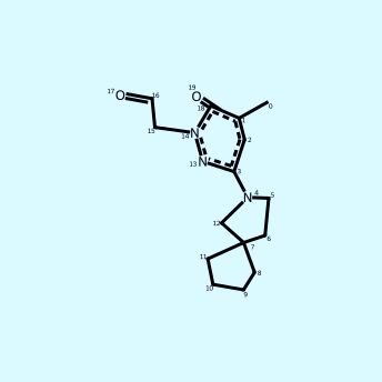 Cc1cc(N2CCC3(CCCC3)C2)nn(CC=O)c1=O